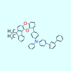 CC1(C)c2ccccc2-c2c1ccc1c2Oc2c(cccc2-c2ccc(N(c3ccccc3)c3ccc(-c4cccc(-c5ccccc5)c4)cc3)cc2)O1